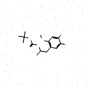 COc1cc(Br)c(Cl)cc1CC(C)NC(=O)OC(C)(C)C